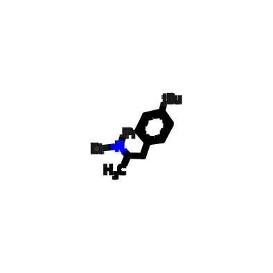 CCN(C(C)C)C(C)Cc1ccc(C(C)(C)C)cc1